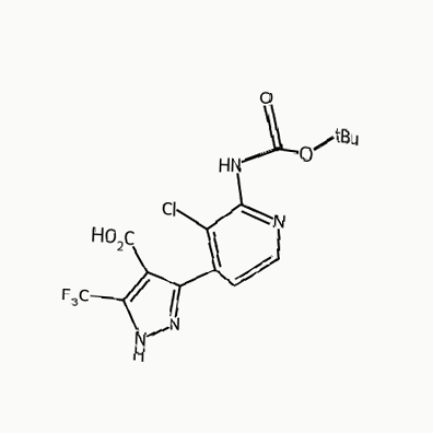 CC(C)(C)OC(=O)Nc1nccc(-c2n[nH]c(C(F)(F)F)c2C(=O)O)c1Cl